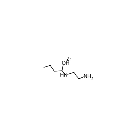 CCCC(O)NCCN.[Zr]